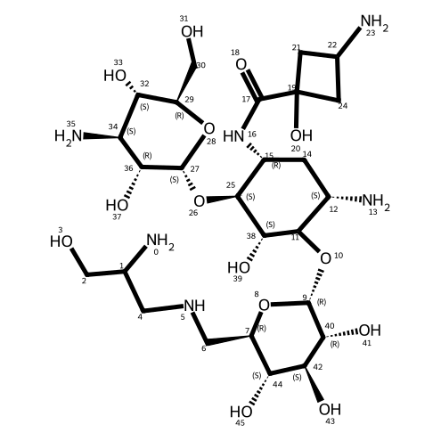 NC(CO)CNC[C@H]1O[C@H](OC2[C@@H](N)C[C@@H](NC(=O)C3(O)CC(N)C3)[C@H](O[C@H]3O[C@H](CO)[C@@H](O)[C@H](N)[C@H]3O)[C@H]2O)[C@H](O)[C@@H](O)[C@@H]1O